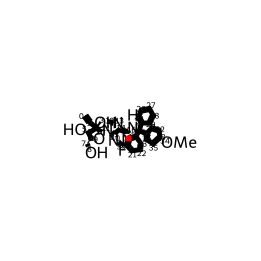 C#C[C@@]1(O)[C@H](O)[C@@H](CO)O[C@H]1n1cnc2c(NC(c3ccccc3)(c3ccccc3)c3ccc(OC)cc3)nc(F)nc21